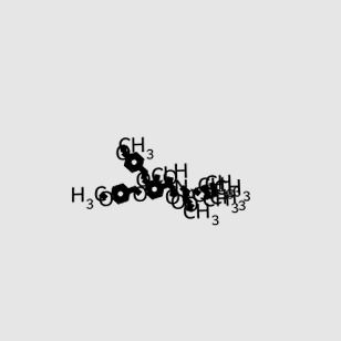 COC(=O)[C@@H](CO[Si](C)(C)C(C)(C)C)NC(=O)C(=O)c1ccc(OCc2ccc(OC)cc2)c(OCc2ccc(OC)cc2)c1Cl